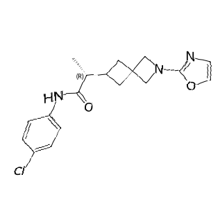 C[C@@H](C(=O)Nc1ccc(Cl)cc1)C1CC2(C1)CN(c1ncco1)C2